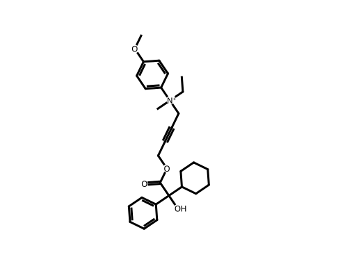 CC[N+](C)(CC#CCOC(=O)C(O)(c1ccccc1)C1CCCCC1)c1ccc(OC)cc1